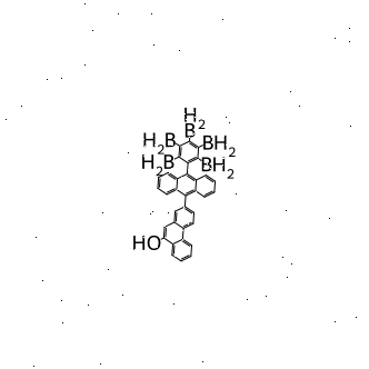 Bc1c(B)c(B)c(-c2c3ccccc3c(-c3ccc4c(c3)cc(O)c3ccccc34)c3ccccc23)c(B)c1B